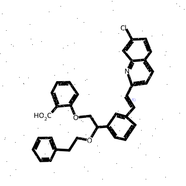 O=C(O)c1ccccc1OCC(OCCc1ccccc1)c1cccc(/C=C/c2ccc3ccc(Cl)cc3n2)c1